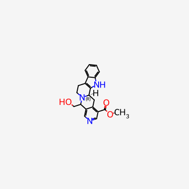 COC(=O)c1cncc2c1C[C@@H]1c3[nH]c4ccccc4c3CCN1C2CO